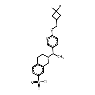 CC(c1ccc(OCC2CC(F)(F)C2)nc1)N1CCc2ccc(S(=O)(=O)Cl)cc2C1